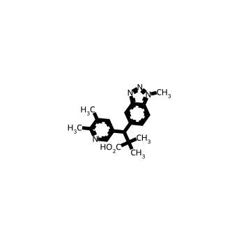 Cc1cc(C(c2ccc3c(c2)nnn3C)C(C)(C)C(=O)O)cnc1C